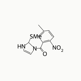 CSC1NC=CN1C(=O)c1cc(C)ccc1[N+](=O)[O-]